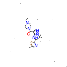 CCN1CCN(C(=O)c2cnn3c2NC(c2ncc(C)s2)CC3(C)C)CC1